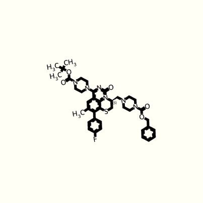 Cc1cc2c(N3CCN(C(=O)OC(C)(C)C)CC3)nc(=O)n3c2c(c1-c1ccc(F)cc1)SC[C@@H]3CN1CCN(C(=O)OCc2ccccc2)CC1